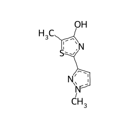 Cc1sc(-c2ccn(C)n2)nc1O